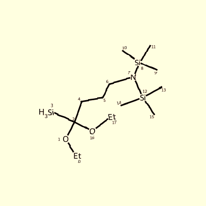 CCOC([SiH3])(CCCN([Si](C)(C)C)[Si](C)(C)C)OCC